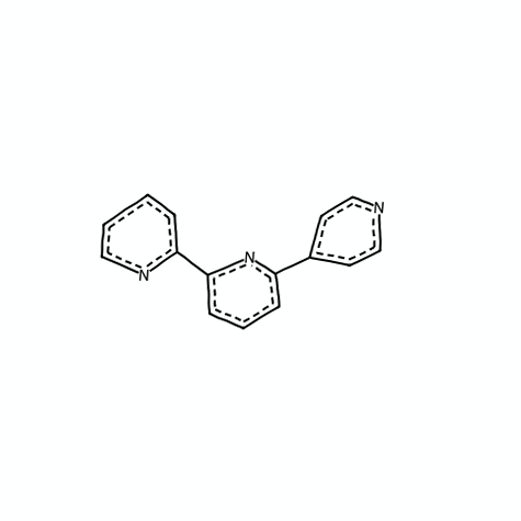 c1ccc(-c2cccc(-c3ccncc3)n2)nc1